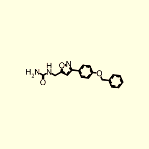 NC(=O)NCc1cc(-c2ccc(OCc3ccccc3)cc2)no1